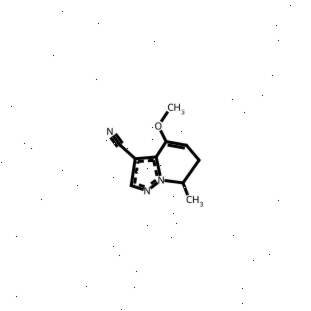 COC1=CCC(C)n2ncc(C#N)c21